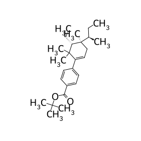 CC[C@@H](C)[C@@]1(C)CC=C(c2ccc(C(=O)OC(C)(C)C)cc2)C(C)(C)[C@@H]1CC